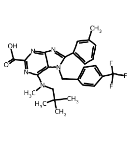 Cc1cccc(-c2nc3nc(C(=O)O)nc(N(C)CC(C)(C)C)c3n2Cc2ccc(C(F)(F)F)cc2)c1